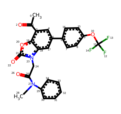 CC(=O)c1cc(-c2ccc(OC(F)(F)F)cc2)cc2c1oc(=O)n2CC(=O)N(C)c1ccccc1